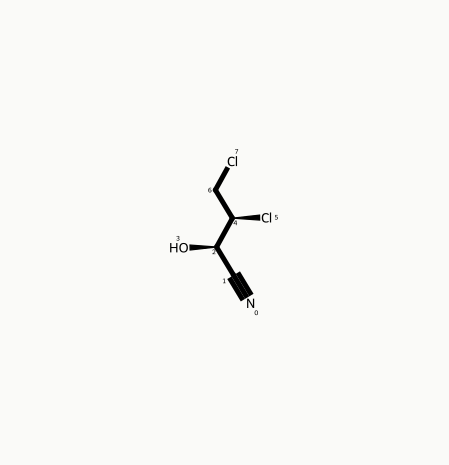 N#C[C@@H](O)[C@H](Cl)CCl